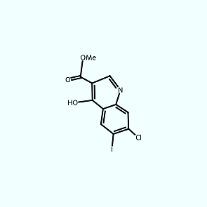 COC(=O)c1cnc2cc(Cl)c(I)cc2c1O